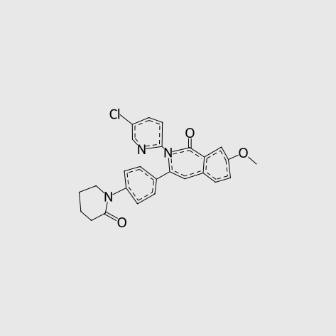 COc1ccc2cc(-c3ccc(N4CCCCC4=O)cc3)n(-c3ccc(Cl)cn3)c(=O)c2c1